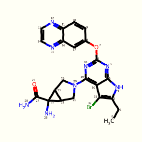 CCc1[nH]c2nc(Oc3ccc4nccnc4c3)nc(N3CC4C(C3)C4(N)C(N)=O)c2c1Br